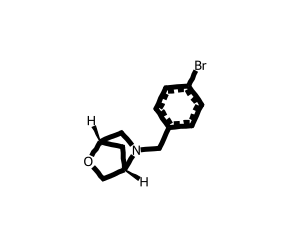 Brc1ccc(CN2C[C@@H]3C[C@H]2CO3)cc1